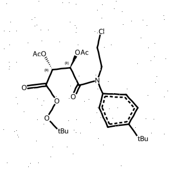 CC(=O)O[C@@H](C(=O)OOC(C)(C)C)[C@@H](OC(C)=O)C(=O)N(CCCl)c1ccc(C(C)(C)C)cc1